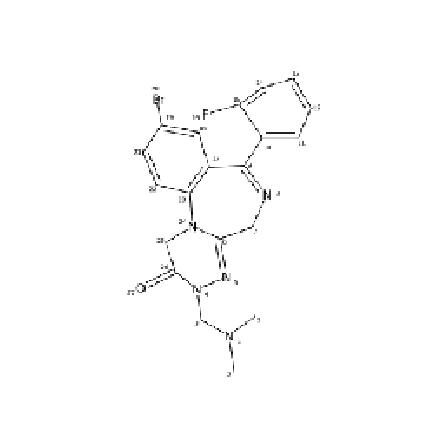 CN(C)CN1N=C2CN=C(c3ccccc3F)c3cc(Br)ccc3N2CC1=O